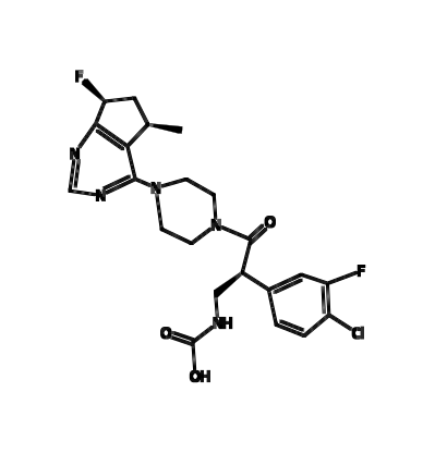 C[C@@H]1C[C@H](F)c2ncnc(N3CCN(C(=O)[C@H](CNC(=O)O)c4ccc(Cl)c(F)c4)CC3)c21